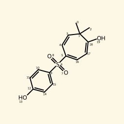 CC1(C)C=CC(S(=O)(=O)c2ccc(O)cc2)=CC=C1O